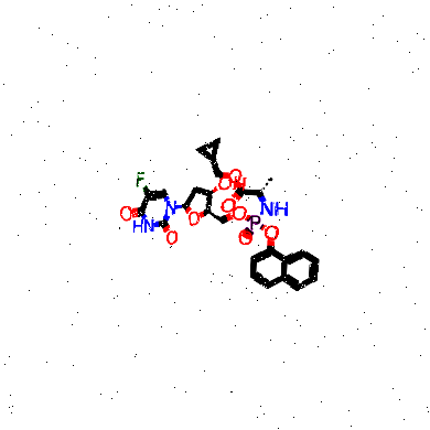 C[C@H](NP(=O)(OC[C@H]1O[C@@H](n2cc(F)c(=O)[nH]c2=O)C[C@H]1O)Oc1cccc2ccccc12)C(=O)OCC1CC1